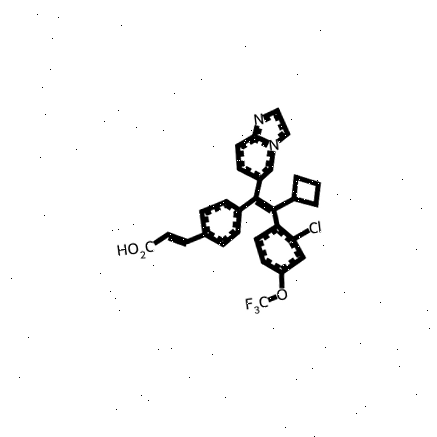 O=C(O)C=Cc1ccc(C(=C(c2ccc(OC(F)(F)F)cc2Cl)C2CCC2)c2ccc3nccn3c2)cc1